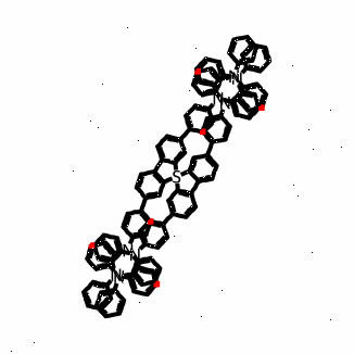 c1ccc(N2c3ccccc3N(c3ccc(-c4ccc5c(c4)S4(c6cc(-c7ccc(N8c9ccccc9N(c9ccccc9)c9ccccc98)cc7)ccc6-5)c5cc(-c6ccc(N7c8ccccc8N(c8ccccc8)c8ccccc87)cc6)ccc5-c5ccc(-c6ccc(N7c8ccccc8N(c8ccccc8)c8ccccc87)cc6)cc54)cc3)c3ccccc32)cc1